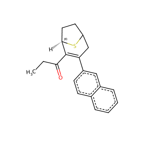 CCC(=O)C1=C(c2ccc3ccccc3c2)CC2CC[C@H]1S2